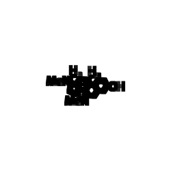 CN[C@H]1CC2C[C@@H](O)C=C[C@]2(C)C2=CC[C@]3(C)[C@@H](NC)CC[C@H]3[C@@H]21